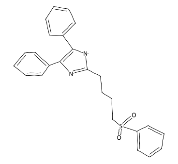 O=S(=O)(CCCCC1=NC(c2ccccc2)=C(c2ccccc2)[N]1)c1ccccc1